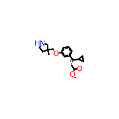 COC(=O)C[C@H](c1cccc(OCC2(C)CCNC2)c1)C1CC1